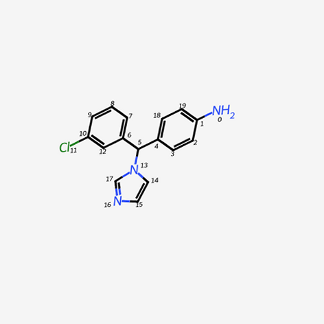 Nc1ccc(C(c2cccc(Cl)c2)n2ccnc2)cc1